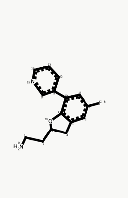 NCCC1Cc2cc(F)cc(-c3cccnc3)c2O1